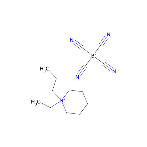 CCC[N+]1(CC)CCCCC1.N#C[B-](C#N)(C#N)C#N